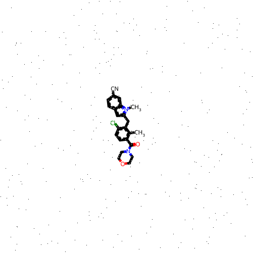 Cc1c(C(=O)N2CCOCC2)ccc(Cl)c1Cc1cc2ccc(C#N)cc2n1C